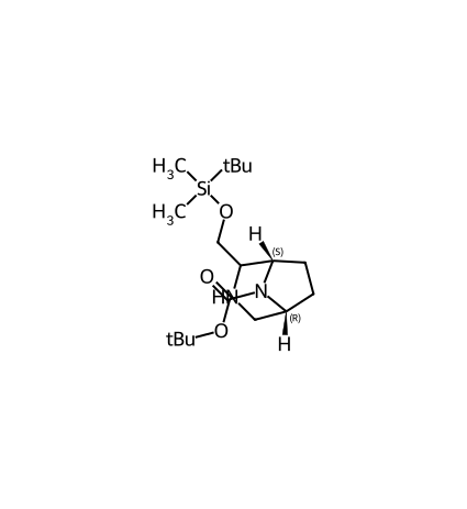 CC(C)(C)OC(=O)N1[C@@H]2CC[C@H]1C(CO[Si](C)(C)C(C)(C)C)NC2